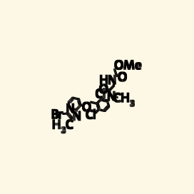 COCC(=O)NCC(=O)N(C)c1ccc(Cl)c(COc2cccn3c(Br)c(C)nc23)c1Cl